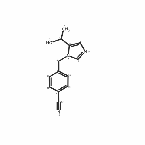 CC(O)c1cncn1Cc1ccc(C#N)cc1